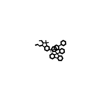 C=C/C=C1\C(=C/C)C(C)(C)c2cc(N(c3ccc(-c4ccccc4)cc3)c3cccc4c3C3(c5ccccc5-c5ccccc53)c3ccccc3-4)ccc21